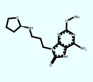 CCCCOc1nc(N)c2[nH]c(=O)n(CCCN[C@H]3CCCO3)c2n1